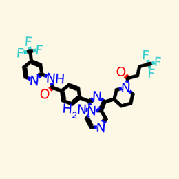 N[N+]12C=CN=CC1=C(C1CCCN(C(=O)CCC(F)(F)F)C1)N=C2c1ccc(C(=O)Nc2cc(C(F)(F)F)ccn2)cc1